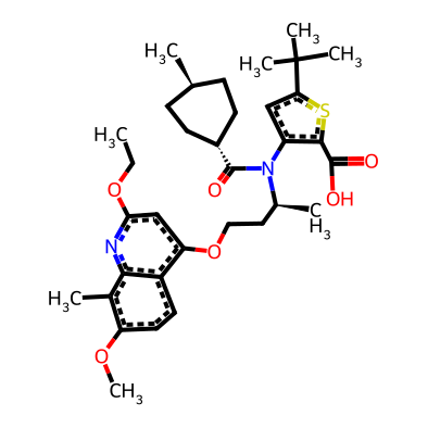 CCOc1cc(OCC[C@H](C)N(c2cc(C(C)(C)C)sc2C(=O)O)C(=O)[C@H]2CC[C@H](C)CC2)c2ccc(OC)c(C)c2n1